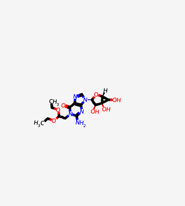 CCOC(Cn1c(N)nc2c(ncn2[C@@H]2O[C@@H]3C(O)[C@]3(O)[C@H]2O)c1=O)OCC